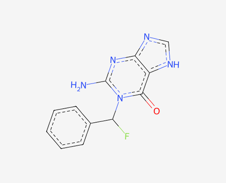 Nc1nc2nc[nH]c2c(=O)n1C(F)c1ccccc1